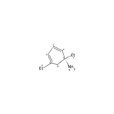 CCC1=CC=CC(N)(CC)C1